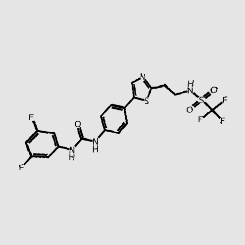 O=C(Nc1ccc(-c2cnc(CCNS(=O)(=O)C(F)(F)F)s2)cc1)Nc1cc(F)cc(F)c1